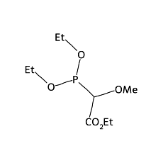 CCOC(=O)C(OC)P(OCC)OCC